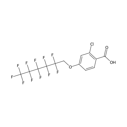 O=C(O)c1ccc(OCC(F)(F)C(F)(F)C(F)(F)C(F)(F)C(F)(F)F)cc1Cl